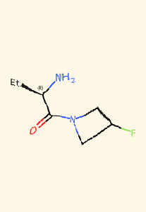 CC[C@@H](N)C(=O)N1CC(F)C1